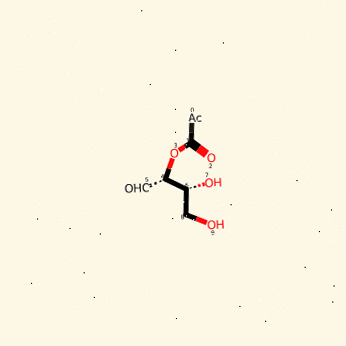 CC(=O)C(=O)O[C@@H](C=O)[C@H](O)CO